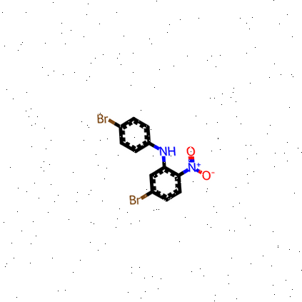 O=[N+]([O-])c1ccc(Br)cc1Nc1ccc(Br)cc1